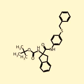 CC(C)(C)OC(=O)NC1(C(=O)Nc2ccc(SCc3ccccc3)cc2)Cc2ccccc2C1